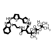 CC(C)(C=C(C#N)C(=O)NCCn1c(Nc2ccc(-c3cn[nH]c3)s2)nc2ccccc21)NC(=O)OC(C)(C)C